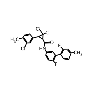 Cc1ccc(-c2cc(NC(=O)C3C(c4ccc(C)c(Cl)c4)C3(Cl)Cl)ccc2F)c(F)c1